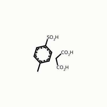 Cc1ccc(S(=O)(=O)O)cc1.O=C(O)CC(=O)O